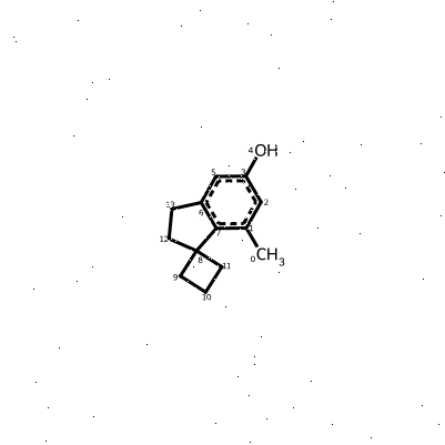 Cc1cc(O)cc2c1C1(CCC1)CC2